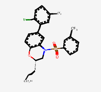 O=C(O)CC[C@H]1CN(S(=O)(=O)c2cccc(C(F)(F)F)c2)c2cc(-c3cc(C(F)(F)F)ccc3F)ccc2O1